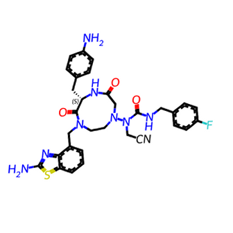 N#CCN(C(=O)NCc1ccc(F)cc1)N1CCN(Cc2cccc3sc(N)nc23)C(=O)[C@H](Cc2ccc(N)cc2)NC(=O)C1